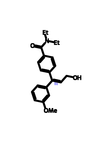 CCN(CC)C(=O)c1ccc(/C(=C\CO)c2cccc(OC)c2)cc1